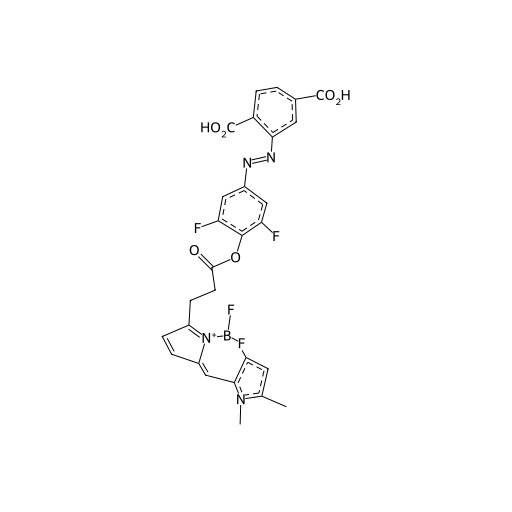 Cc1cc(C)n(C)c1/C=C1/C=CC(CCC(=O)Oc2c(F)cc(/N=N/c3cc(C(=O)O)ccc3C(=O)O)cc2F)=[N+]1B(F)F